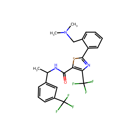 CC(NC(=O)c1sc(-c2ccccc2CN(C)C)nc1C(F)(F)F)c1cccc(C(F)(F)F)c1